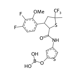 COc1c(C2CC(C)(C(F)(F)F)SC2C(=O)Nc2csc(OB(O)O)c2)ccc(F)c1F